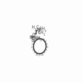 C[N+](C)(C)CCOP(=O)(O)OC1CCCCCCCCCCCCCCCC1